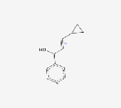 OC(/C=C/C1CC1)c1ccncc1